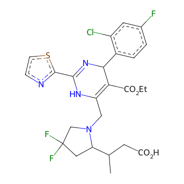 CCOC(=O)C1=C(CN2CC(F)(F)CC2C(C)CC(=O)O)NC(c2nccs2)=NC1c1ccc(F)cc1Cl